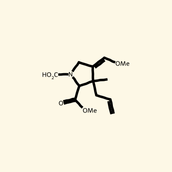 C=CCC1(C)/C(=C\OC)CN(C(=O)O)C1C(=O)OC